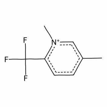 Cc1ccc(C(F)(F)F)[n+](C)c1